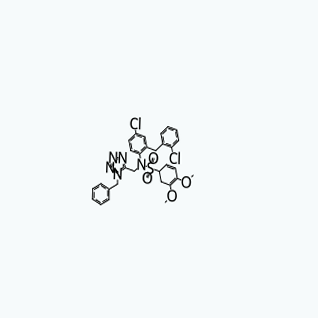 COC1=C(OC)CC(S(=O)(=O)N(Cc2nnnn2Cc2ccccc2)c2ccc(Cl)cc2Cc2ccccc2Cl)C=C1